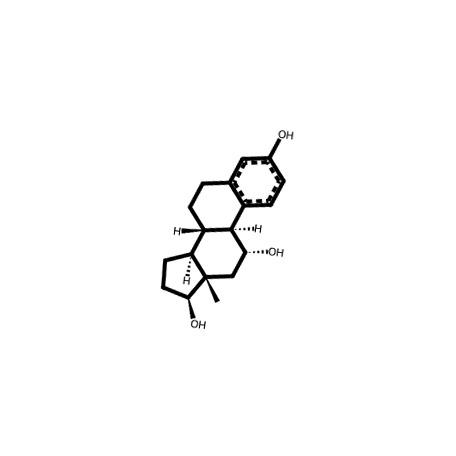 C[C@]12C[C@@H](O)[C@@H]3c4ccc(O)cc4CC[C@H]3[C@@H]1CC[C@@H]2O